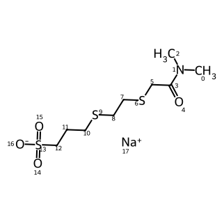 CN(C)C(=O)CSCCSCCCS(=O)(=O)[O-].[Na+]